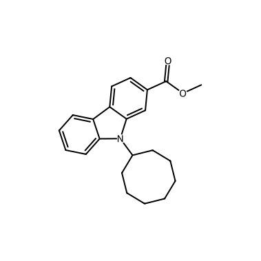 COC(=O)c1ccc2c3ccccc3n(C3CCCCCCC3)c2c1